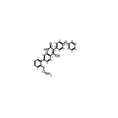 NOCc1ccccc1-c1ccc2c(O)c(-c3ccc(Oc4ccccc4)cc3)c(=O)[nH]c2c1